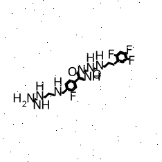 N=C(N)NCCCNCc1ccc(-c2c[nH]c(NC(=O)NCCCc3cc(F)c(F)cc3F)nc2=O)cc1F